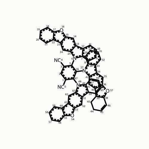 N#Cc1cc(C#N)c(-n2c3ccccc3c3cc4oc5ccccc5c4cc32)c(-n2c3ccccc3c3cc4oc5c(c4cc32)CCC=C5)c1-n1c2c(c3cc4oc5ccccc5c4cc31)C=C=C=C2